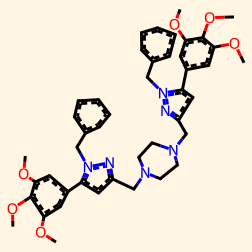 COc1cc(-c2cc(CN3CCN(Cc4cc(-c5cc(OC)c(OC)c(OC)c5)n(Cc5ccccc5)n4)CC3)nn2Cc2ccccc2)cc(OC)c1OC